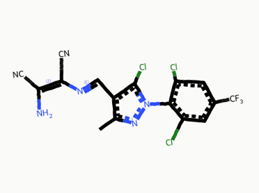 Cc1nn(-c2c(Cl)cc(C(F)(F)F)cc2Cl)c(Cl)c1/C=N/C(C#N)=C(\N)C#N